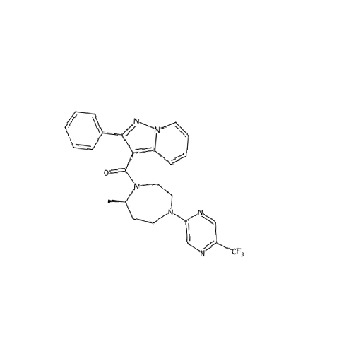 C[C@@H]1CCN(c2cnc(C(F)(F)F)cn2)CCN1C(=O)c1c(-c2ccccc2)nn2ccccc12